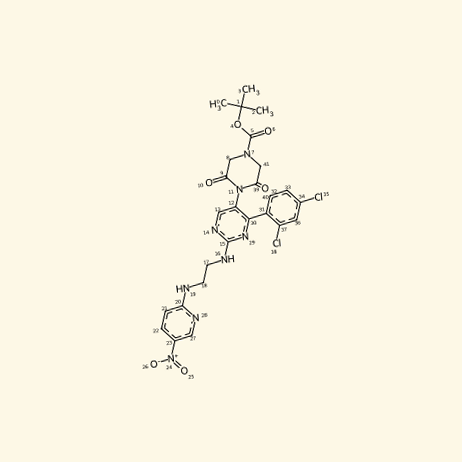 CC(C)(C)OC(=O)N1CC(=O)N(c2cnc(NCCNc3ccc([N+](=O)[O-])cn3)nc2-c2ccc(Cl)cc2Cl)C(=O)C1